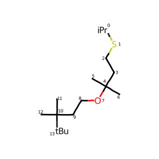 CC(C)SCCC(C)(C)OCCC(C)(C)C(C)(C)C